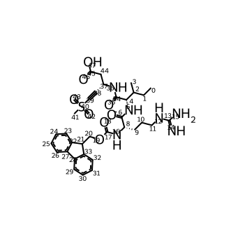 CCC(C)[C@H](NC(=O)[C@H](CCCNC(=N)N)NC(=O)OCC1c2ccccc2-c2ccccc21)C(=O)N[C@H](C#CS(C)(=O)=O)CC(=O)O